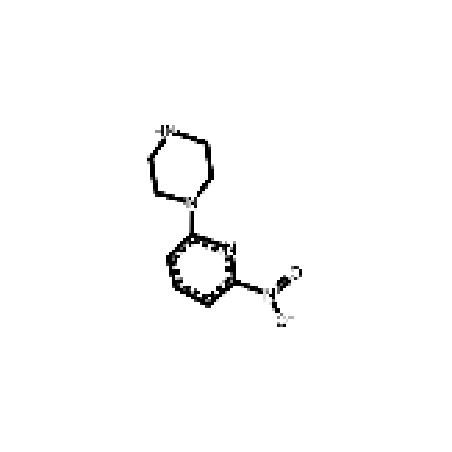 O=[N+]([O-])c1cccc(N2CCNCC2)n1